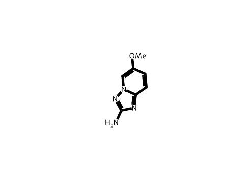 COc1ccc2nc(N)nn2c1